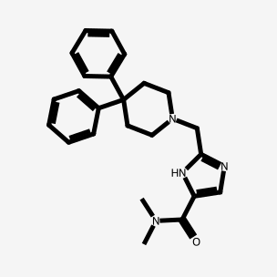 CN(C)C(=O)c1cnc(CN2CCC(c3ccccc3)(c3ccccc3)CC2)[nH]1